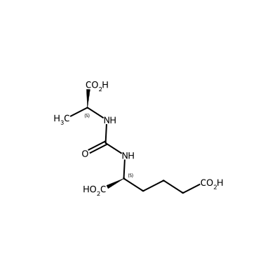 C[C@H](NC(=O)N[C@@H](CCCC(=O)O)C(=O)O)C(=O)O